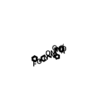 C[C@@H]1CN(C(=O)c2nn(CC(=O)N3CCC(Oc4ccccc4F)CC3)c3c2CCC3)C[C@H](C)O1